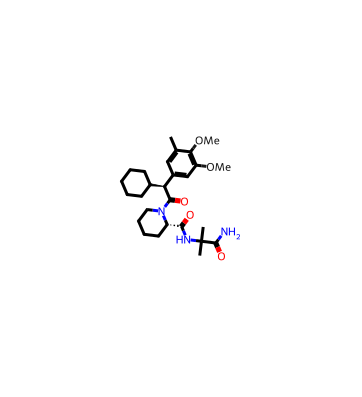 COc1cc([C@@H](C(=O)N2CCCC[C@H]2C(=O)NC(C)(C)C(N)=O)C2CCCCC2)cc(C)c1OC